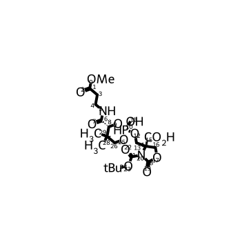 COC(=O)CCNC(=O)[C@@H]1O[PH](O)(OC[C@]2(C(=O)O)COC(=O)N2C(=O)OC(C)(C)C)OCC1(C)C